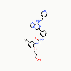 O=C(Nc1cccc(-c2cn3ccnc3c(NCc3ccncc3)n2)c1)Nc1cc(C(F)(F)F)ccc1OCCCO